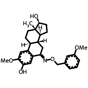 COc1cccc(CO/N=C2\C[C@@H]3[C@H](CC[C@]4(C)[C@@H](O)CC[C@@H]34)c3cc(OC)c(O)cc32)c1